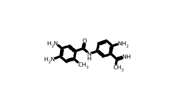 CC(=N)c1cc(NC(=O)c2cc(N)c(N)cc2C)ccc1N